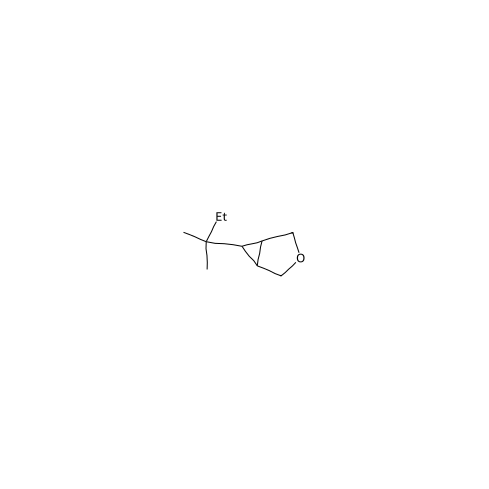 CCC(C)(C)C1C2COCC21